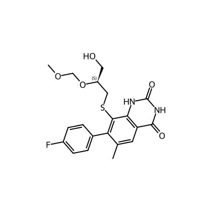 COCO[C@@H](CO)CSc1c(-c2ccc(F)cc2)c(C)cc2c(=O)[nH]c(=O)[nH]c12